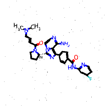 CN(C)CC=CC(=O)N1CCC[C@H]1c1nc(-c2ccc(C(=O)Nc3cc(F)ccn3)cc2)c2c(N)nccn12